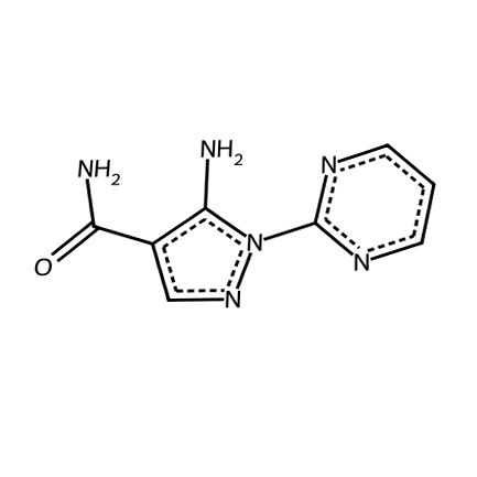 NC(=O)c1cnn(-c2ncccn2)c1N